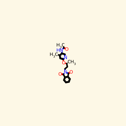 CC(=O)Nc1cnc(O[C@H](C)CCN2C(=O)c3ccccc3C2=O)cc1C